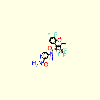 CC[C@@H]1[C@H](c2ccc(F)c(F)c2OC)[C@@H](C(=O)Nc2ccnc(C(N)=O)c2)O[C@]1(C)C(F)(F)F